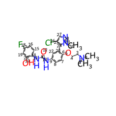 CN(C)CCOc1ccc(NC(=O)Nc2ccc(F)cc2O)cc1-c1c(Cl)cnn1C